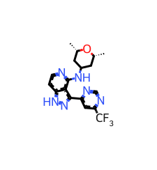 C[C@@H]1CC(Nc2nccc3[nH]nc(-c4cc(C(F)(F)F)ncn4)c23)C[C@H](C)O1